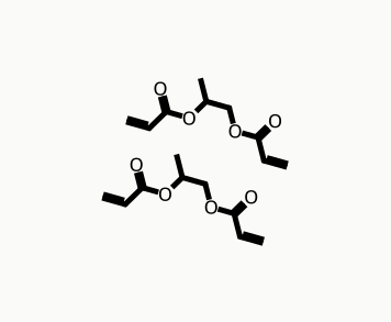 C=CC(=O)OCC(C)OC(=O)C=C.C=CC(=O)OCC(C)OC(=O)C=C